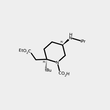 CCOC(=O)C[C@@]1(C(C)(C)C)CC[C@@H](NC(C)C)CN1C(=O)O